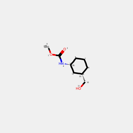 CC(C)(C)OC(=O)N[C@@H]1CCC[C@H](CO)C1